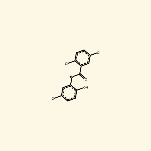 O=C(Nc1cc(Cl)ccc1O)c1cc(Cl)ccc1Cl